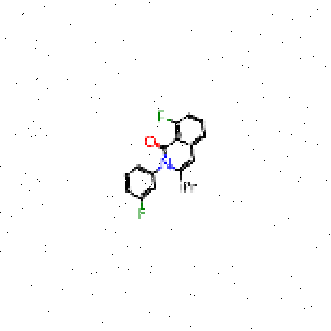 CC(C)c1cc2cccc(F)c2c(=O)n1-c1cccc(F)c1